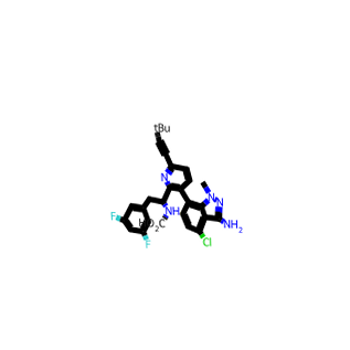 Cn1nc(N)c2c(Cl)ccc(-c3ccc(C#CC(C)(C)C)nc3C(Cc3cc(F)cc(F)c3)NC(=O)O)c21